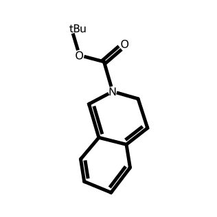 CC(C)(C)OC(=O)N1C=c2ccccc2=CC1